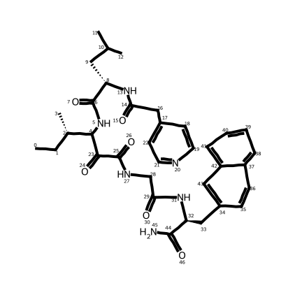 CC[C@H](C)C(NC(=O)[C@H](CC(C)C)NC(=O)Cc1ccncc1)C(=O)C(=O)NCC(=O)N[C@@H](Cc1ccc2ccccc2c1)C(N)=O